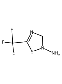 NN1CN=C(C(F)(F)F)S1